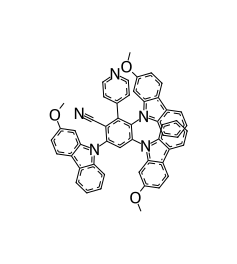 COc1ccc2c3ccccc3n(-c3cc(-n4c5ccccc5c5ccc(OC)cc54)c(-n4c5ccccc5c5ccc(OC)cc54)c(-c4ccncc4)c3C#N)c2c1